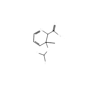 CC1(OC(F)F)C=CC=NC1C(N)=O